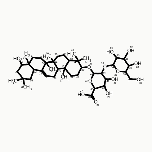 CC1(C)CC(O)C2(C)CCC3(C)C(=CCC4C5(C)CCC(OC6OC(C(=O)O)C(O)C(O)C6OC6OC(CO)C(O)C(O)C6O)C(C)(C)C5CCC43C)C2C1